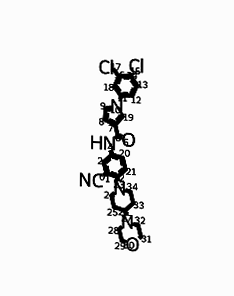 N#Cc1cc(NC(=O)c2ccn(-c3ccc(Cl)c(Cl)c3)c2)ccc1N1CCC(N2CCOCC2)CC1